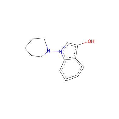 Oc1cn(N2CCCCC2)c2ccccc12